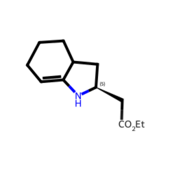 CCOC(=O)C[C@@H]1CC2CCCC=C2N1